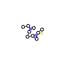 c1ccc(-c2cccc(N(c3ccccc3)c3ccc(-c4ccccc4-c4ccc5c(c4)c4ccccc4n5-c4ccc5c(c4)sc4ccccc45)cc3)c2)cc1